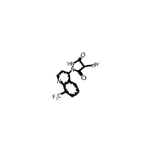 CCCC1C(=O)NN(c2ccnc3c(C(F)(F)F)cccc23)C1=O